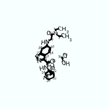 CCN(CC)C(=O)CNc1ccc2c(C(=O)N[C@@H]3CN4CCC3CC4)nsc2c1.O=CO